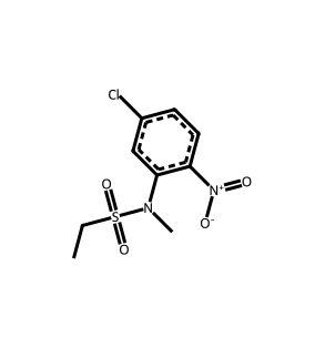 CCS(=O)(=O)N(C)c1cc(Cl)ccc1[N+](=O)[O-]